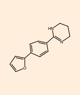 c1coc(-c2ccc(C3=NCCCN3)cc2)c1